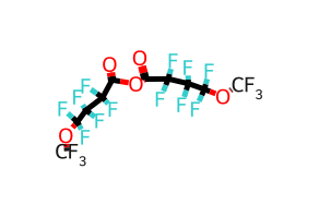 O=C(OC(=O)C(F)(F)C(F)(F)C(F)(F)OC(F)(F)F)C(F)(F)C(F)(F)C(F)(F)OC(F)(F)F